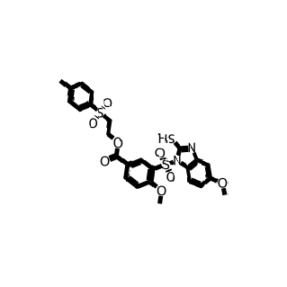 COc1ccc2c(c1)nc(S)n2S(=O)(=O)c1cc(C(=O)OCCS(=O)(=O)c2ccc(C)cc2)ccc1OC